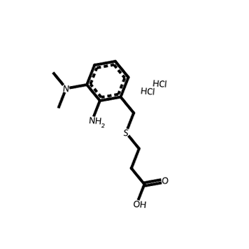 CN(C)c1cccc(CSCCC(=O)O)c1N.Cl.Cl